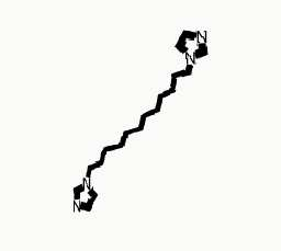 c1cn(CCCCCCCCCCCCn2ccnc2)cn1